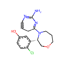 NC1=NC#CCC(N2CCCOC[C@@H]2c2cc(O)ccc2Cl)=N1